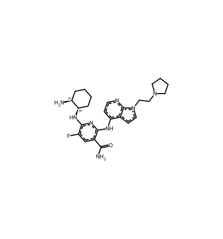 NC(=O)c1cc(F)c(N[C@@H]2CCCC[C@@H]2N)nc1Nc1ccnc2c1ccn2CCN1CCCC1